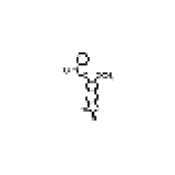 COc1cc(C=C2SC(=O)NC2=O)ccc1OCC(C)C1CCCCC1